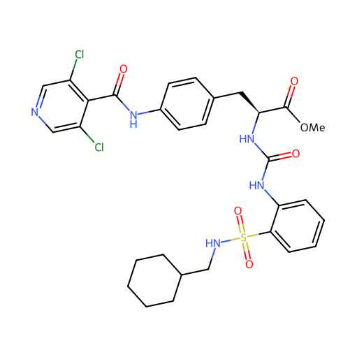 COC(=O)[C@H](Cc1ccc(NC(=O)c2c(Cl)cncc2Cl)cc1)NC(=O)Nc1ccccc1S(=O)(=O)NCC1CCCCC1